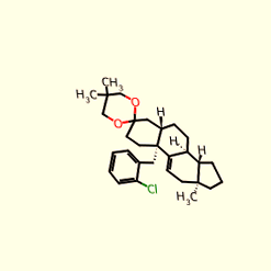 CC1(C)COC2(CC[C@]3(Cc4ccccc4Cl)C4=CC[C@]5(C)CCC[C@H]5[C@@H]4CC[C@H]3C2)OC1